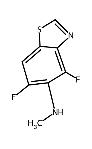 CNc1c(F)cc2scnc2c1F